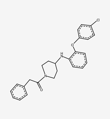 O=C(Cc1ccccc1)N1CCC(Nc2ccccc2Oc2ccc(Cl)cc2)CC1